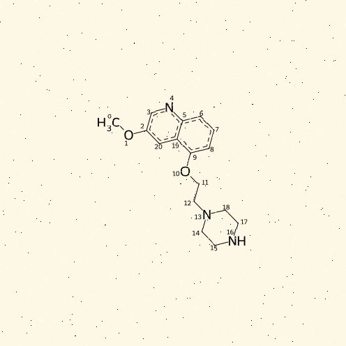 COc1cnc2cccc(OCCN3CCNCC3)c2c1